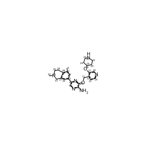 Cc1cc(-c2cnc(N)c(OCc3ccncc3OC3CCNCC3)n2)cc2c1CCN(C)C2